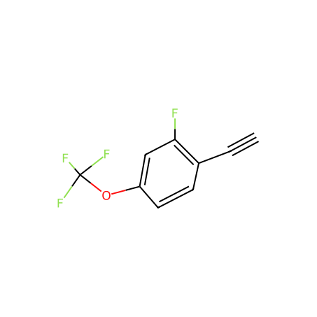 C#Cc1ccc(OC(F)(F)F)cc1F